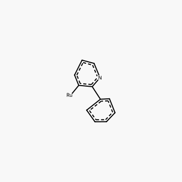 [Ru][c]1cccnc1-c1ccccc1